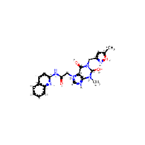 Cc1cc(CN2C(=O)c3c(ncn3CC(=O)Nc3ccc4ccccc4n3)N(C)C2O)no1